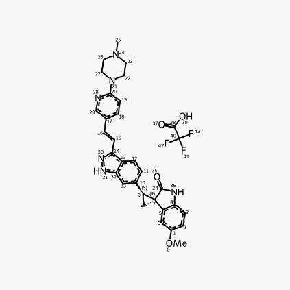 COc1ccc2c(c1)[C@]1(C[C@H]1c1ccc3c(C=Cc4ccc(N5CCN(C)CC5)nc4)n[nH]c3c1)C(=O)N2.O=C(O)C(F)(F)F